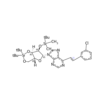 CC(C)(C)[Si](C)(C)O[C@@H]1[C@@H]2O[Si](C(C)(C)C)(C(C)(C)C)OC[C@H]2O[C@H]1n1cnc2c(/C=C/c3cccc(Cl)c3)ncnc21